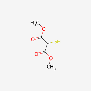 COC(=O)C(S)C(=O)OC